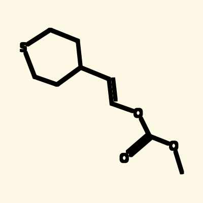 COC(=O)OC=CC1CCSCC1